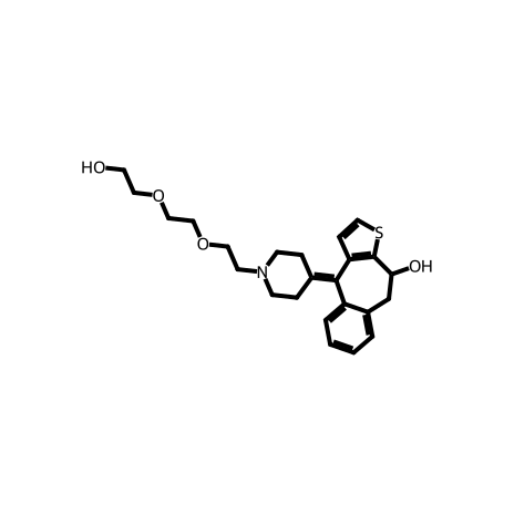 OCCOCCOCCN1CCC(=C2c3ccccc3CC(O)c3sccc32)CC1